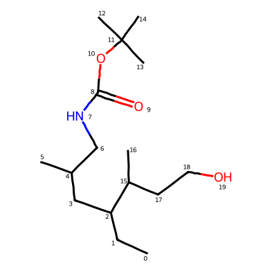 CCC(CC(C)CNC(=O)OC(C)(C)C)C(C)CCO